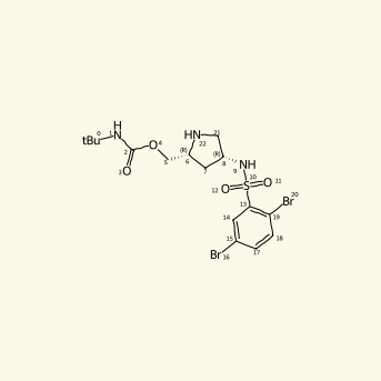 CC(C)(C)NC(=O)OC[C@H]1C[C@@H](NS(=O)(=O)c2cc(Br)ccc2Br)CN1